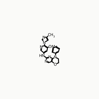 COc1cc(Nc2ncc3c(n2)N(c2ccccc2)CCO3)cnc1-n1cnc(C)c1